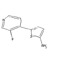 Nc1ccc(-c2ccncc2F)s1